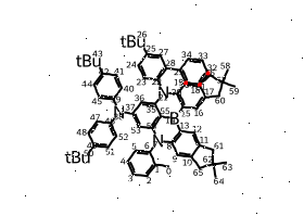 Cc1ccccc1N1c2cc3c(cc2B2c4cc5c(cc4N(c4ccc(C(C)(C)C)cc4-c4ccccc4)c4cc(N(c6ccc(C(C)(C)C)cc6)c6ccc(C(C)(C)C)cc6)cc1c42)CC(C)(C)C5)CC(C)(C)C3